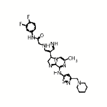 CC1=CN2C(=NCC2/C(C=N)=C/NCC(=O)Nc2ccc(F)c(F)c2)C(Nc2cc(CN3CCCCC3)ns2)=N1